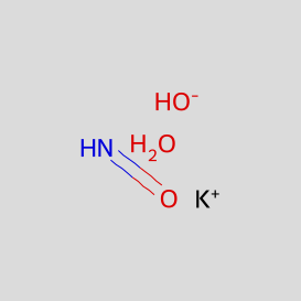 N=O.O.[K+].[OH-]